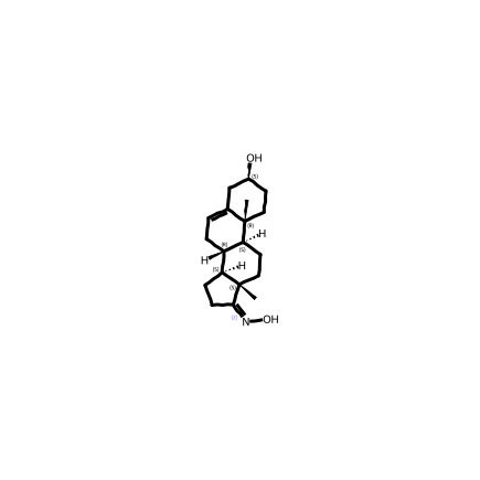 C[C@]12CC[C@H](O)CC1=CC[C@@H]1[C@@H]2CC[C@]2(C)/C(=N\O)CC[C@@H]12